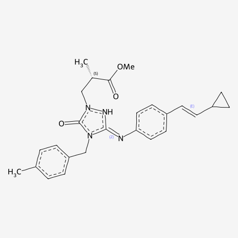 COC(=O)[C@@H](C)Cn1[nH]/c(=N\c2ccc(/C=C/C3CC3)cc2)n(Cc2ccc(C)cc2)c1=O